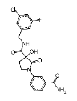 NC(=O)c1cccc(N2CCC(O)(C(=O)NCc3cc(F)cc(Cl)c3)C2=O)c1